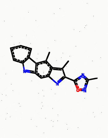 CC1=c2c(cc3c(c2C)-c2ccccc2N=3)N=C1c1nc(C)no1